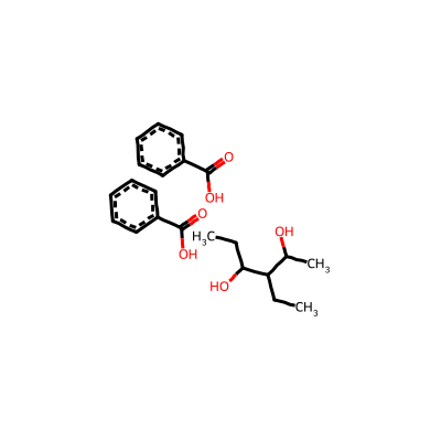 CCC(O)C(CC)C(C)O.O=C(O)c1ccccc1.O=C(O)c1ccccc1